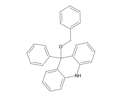 c1ccc(COC2(c3ccccc3)c3ccccc3Nc3ccccc32)cc1